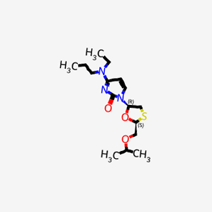 CCCN(CC)c1ccn([C@H]2CS[C@@H](COC(C)C)O2)c(=O)n1